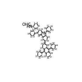 O=CNc1ccccc1-c1ccccc1-c1ccc2c(c1)c1cc(-c3ccc4c(-c5ccccc5)c5ccccc5c(-c5ccccc5)c4c3)ccc1n2-c1ccccc1